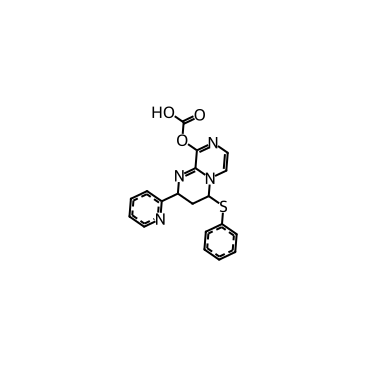 O=C(O)OC1=NC=CN2C1=NC(c1ccccn1)CC2Sc1ccccc1